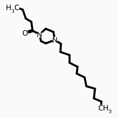 CCCCCCCCCCCCN1CCN(C(=O)CCCC)CC1